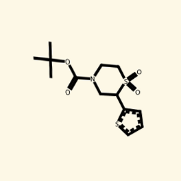 CC(C)(C)OC(=O)N1CCS(=O)(=O)C(c2cccs2)C1